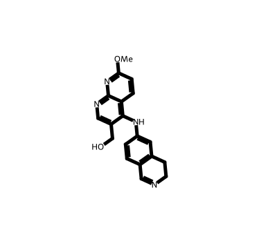 COc1ccc2c(Nc3ccc4c(c3)CCN=C4)c(CO)cnc2n1